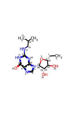 CC[C@H]1O[C@@H](n2cnc3c(=O)[nH]c(NCC(C)C)nc32)[C@@H](O)C1O